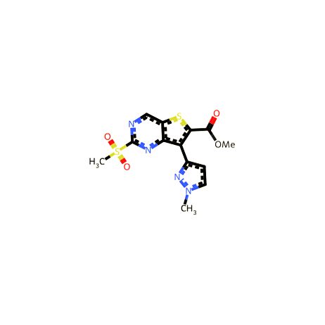 COC(=O)c1sc2cnc(S(C)(=O)=O)nc2c1-c1ccn(C)n1